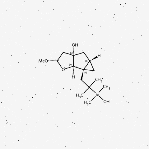 COC1C[C@@]2(O)C[C@@H]3C[C@]3(CC(C)(C)[Si](C)(C)O)[C@H]2O1